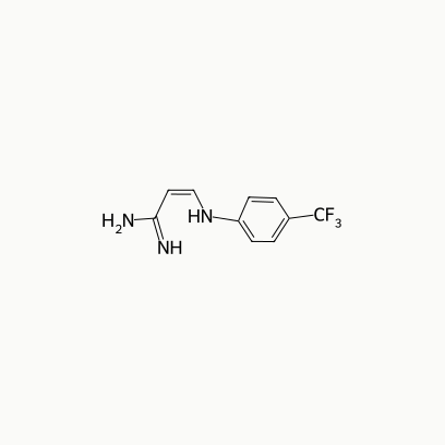 N=C(N)/C=C\Nc1ccc(C(F)(F)F)cc1